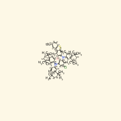 Cc1cc2c(cc1N1c3cc4sc5ccc(C(C)(C)C)cc5c4cc3B3c4cc5c(cc4N(c4ccc6c(c4)C(C)(C)CCC6(C)C)c4cc(Cl)cc1c43)C(C)(C)CCC5(C)C)C(C)(C)CCC2(C)C